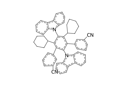 N#Cc1cccc(-c2c(C3CCCCC3)c(-n3c4ccccc4c4ccccc43)c(C3CCCCC3)c(-c3cccc(C#N)c3)c2-n2c3ccccc3c3ccccc32)c1